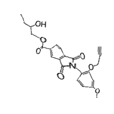 C#CCOc1cc(OC)ccc1N1C(=O)c2ccc(C(=O)OCC(O)CC)cc2C1=O